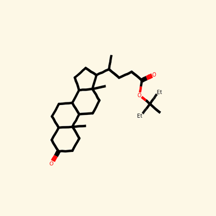 CCC(C)(CC)OC(=O)CCC(C)C1CCC2C3CCC4CC(=O)CCC4(C)C3CCC12C